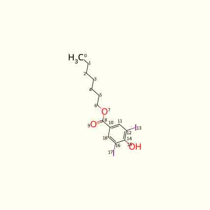 CCCCCCCOC(=O)c1cc(I)c(O)c(I)c1